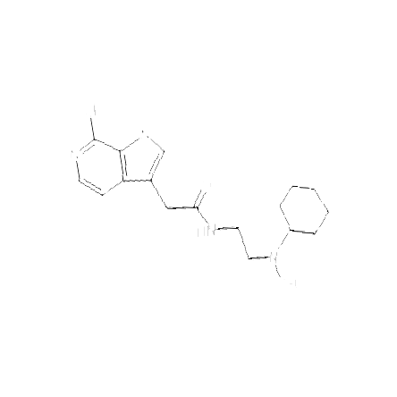 CN(CCNC(=O)Cc1c[nH]c2c(Cl)nccc12)C1CCCCC1